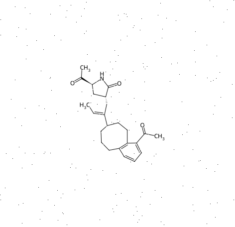 C/C=C(\C[C@@H]1C[C@@H](C(C)=O)NC1=O)C1CCCc2cccc(C(C)=O)c2CC1